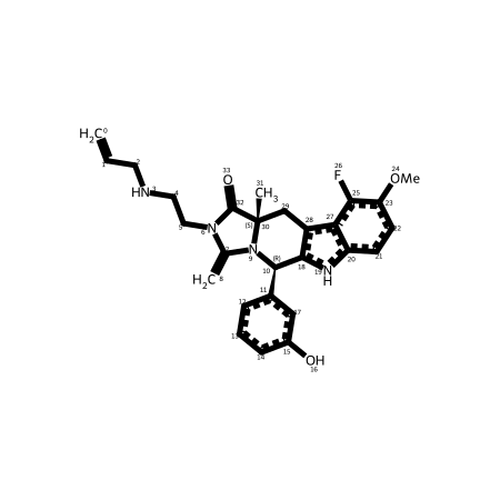 C=CCNCCN1C(=C)N2[C@H](c3cccc(O)c3)c3[nH]c4ccc(OC)c(F)c4c3C[C@@]2(C)C1=O